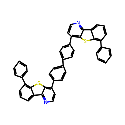 c1ccc(-c2cccc3c2sc2c(-c4ccc(-c5ccc(-c6ccnc7c6sc6c(-c8ccccc8)cccc67)cc5)cc4)ccnc23)cc1